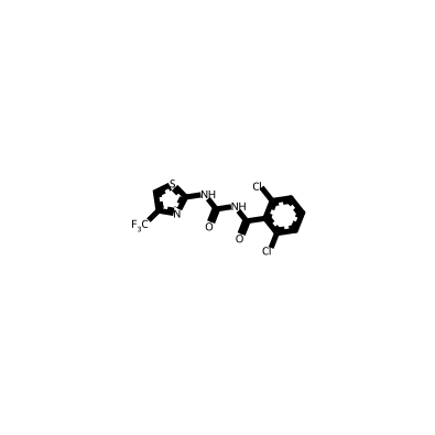 O=C(NC(=O)c1c(Cl)cccc1Cl)Nc1nc(C(F)(F)F)cs1